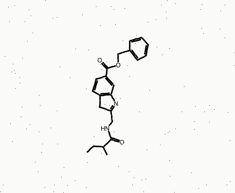 CCC(C)C(=O)NCC1=Nc2cc(C(=O)OCc3ccccc3)ccc2C1